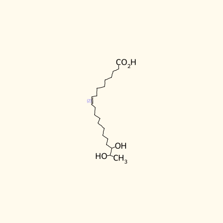 CC(O)C(O)CCCCCCCC/C=C\CCCCCCCC(=O)O